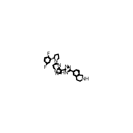 Fc1ccc(F)c([C@H]2CCCN2c2ccn3ncc(-c4nnc(-c5ccc6c(c5)CCNC6)[nH]4)c3n2)c1